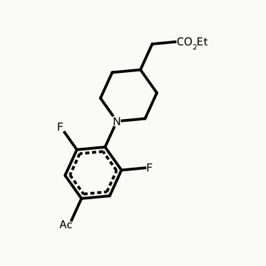 CCOC(=O)CC1CCN(c2c(F)cc(C(C)=O)cc2F)CC1